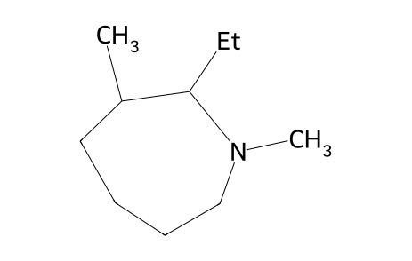 CCC1C(C)CCCCN1C